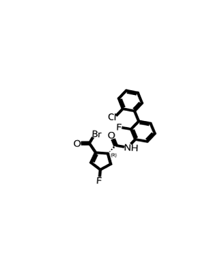 O=C(Br)C1=CC(F)C[C@H]1C(=O)Nc1cccc(-c2ccccc2Cl)c1F